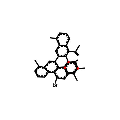 C=C(C)c1c(-c2cccc(C)c2C)c(-c2cc3c(C)cccc3c3c(Br)cc4c(C)cccc4c23)cc2c(C)cccc12